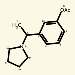 CC(=O)Oc1cccc(C(C)N2CCCC2)c1